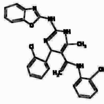 C=C(Nc1ccccc1O)C1=C(C)NC(Nc2nc3ccccc3o2)=NC1c1ccccc1Cl